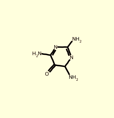 NC1=NC(N)C(=O)C(N)=N1